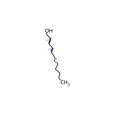 CCCCCCC/C=C/C=C/CO